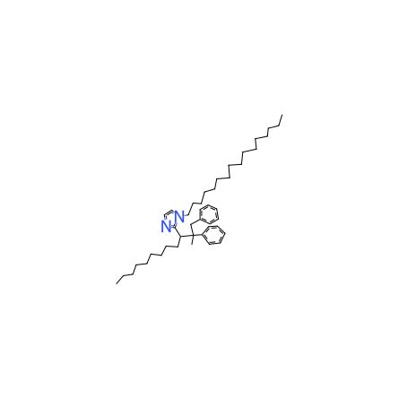 CCCCCCCCCCCCCCCCn1ccnc1C(CCCCCCCCC)C(C)(Cc1ccccc1)c1ccccc1